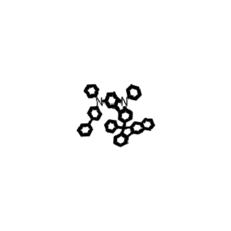 c1ccc(-c2ccc(N(c3ccccc3)c3ccc4c(c3)c3cc(C5(c6ccccc6)c6ccccc6-c6cc7ccccc7cc65)ccc3n4-c3ccccc3)cc2)cc1